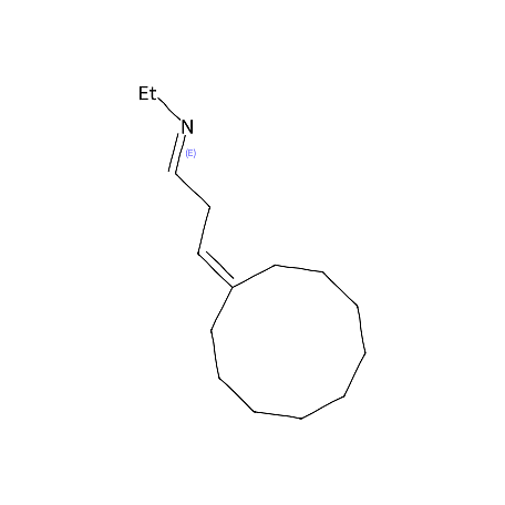 CC/N=C/CC=C1CCCCCCCCC1